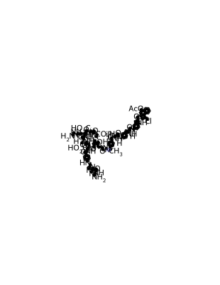 CC(=O)Oc1cc2c(c3ccccc13)C(CCl)CN2C(=O)c1cc2cc(NC(=O)c3cc4cc(NC(=O)[C@@H](NC(=O)c5ccc(/C(C)=N\NC(=O)CCN6C(=O)CC(SCC(NC(=O)[C@@H](CC(=O)O)NC(=O)[C@@H](CCCNC(=N)N)NC(=O)[C@H](CC(=O)O)NC(=O)CC[C@H](NC(=O)c7ccc(NCc8cnc9nc(N)[nH]c(=O)c9n8)cc7)C(=O)O)C(=O)O)C6=O)cc5)C(C)C)ccc4[nH]3)ccc2[nH]1